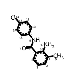 Cc1cccc(C(=O)Nc2ccc(Cl)cc2)c1N